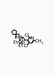 CC[Si](CC)(CC)OC(CNCC1(F)CCCC1)c1c(Cl)cc(C)nc1Cl